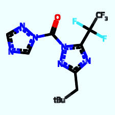 CC(C)(C)Cc1nc(C(F)(F)C(F)(F)F)n(C(=O)n2cncn2)n1